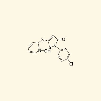 O=c1cc(SC2C=CC=CN2O)sn1-c1ccc(Cl)cc1